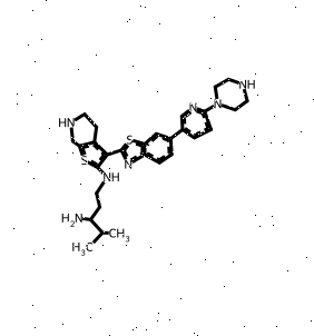 CC(C)C(N)CCNc1sc2c(c1-c1nc3ccc(-c4ccc(N5CCNCC5)nc4)cc3s1)CCNC2